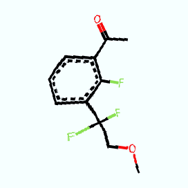 COCC(F)(F)c1cccc(C(C)=O)c1F